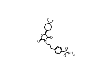 NS(=O)(=O)c1ccc(CCCN2C(=O)SC(=C3CCC(F)(F)CC3)C2=O)cc1